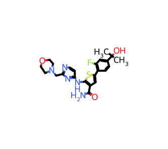 CC(C)(O)c1ccc(-c2cc(C(N)=O)c(Nc3ccnc(CN4CCOCC4)n3)s2)c(F)c1